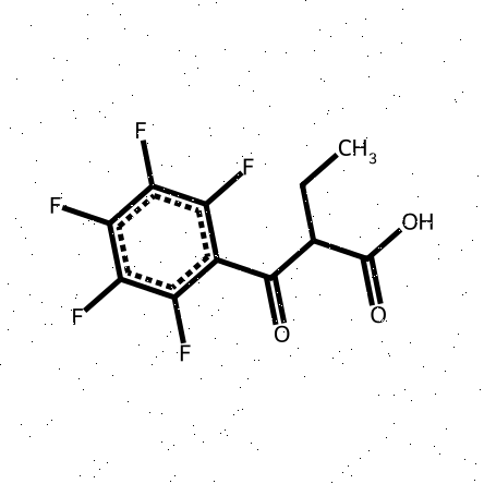 CCC(C(=O)O)C(=O)c1c(F)c(F)c(F)c(F)c1F